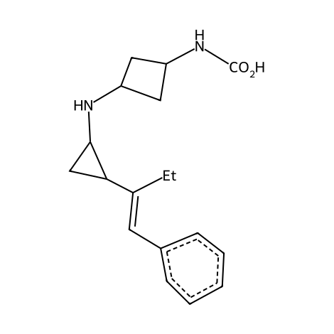 CC/C(=C\c1ccccc1)C1CC1NC1CC(NC(=O)O)C1